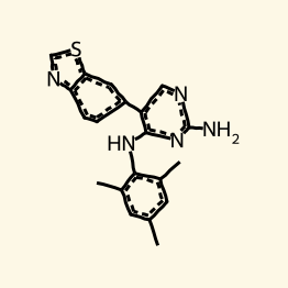 Cc1cc(C)c(Nc2nc(N)ncc2-c2ccc3ncsc3c2)c(C)c1